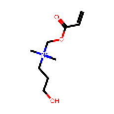 C=CC(=O)OC[N+](C)(C)CCCO